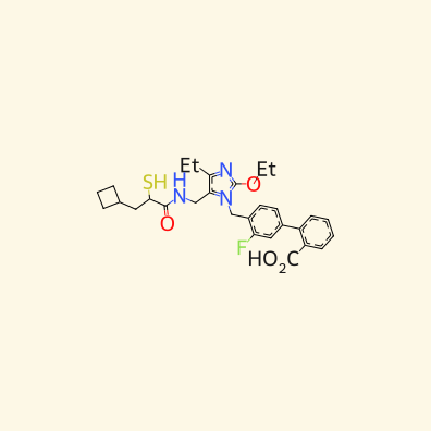 CCOc1nc(CC)c(CNC(=O)C(S)CC2CCC2)n1Cc1ccc(-c2ccccc2C(=O)O)cc1F